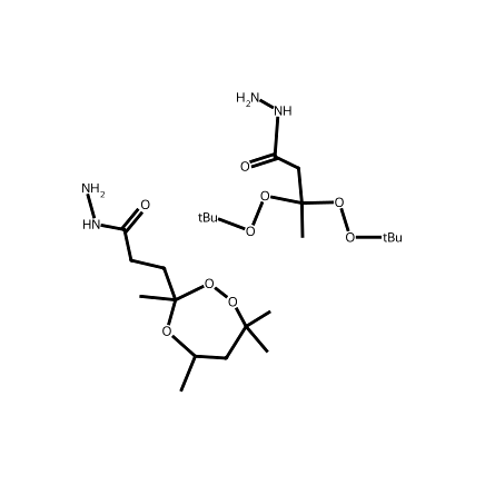 CC(C)(C)OOC(C)(CC(=O)NN)OOC(C)(C)C.CC1CC(C)(C)OOC(C)(CCC(=O)NN)O1